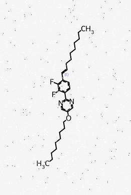 CCCCCCCC/C=C/c1ccc(-c2ncc(OCCCCCCCCC)cn2)c(F)c1F